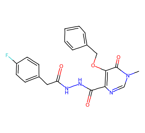 Cn1cnc(C(=O)NNC(=O)Cc2ccc(F)cc2)c(OCc2ccccc2)c1=O